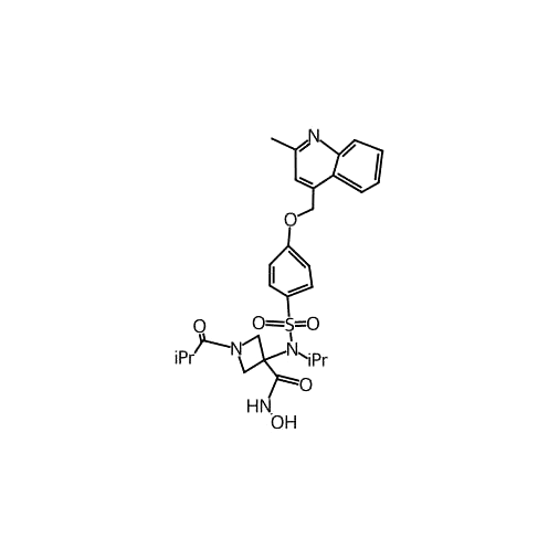 Cc1cc(COc2ccc(S(=O)(=O)N(C(C)C)C3(C(=O)NO)CN(C(=O)C(C)C)C3)cc2)c2ccccc2n1